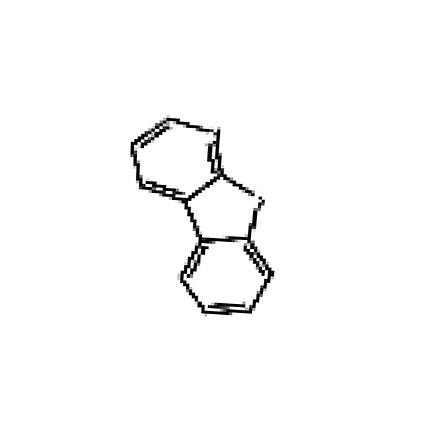 c1ccc2c(c1)sc1ncccc12